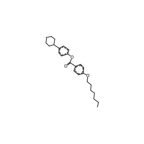 CCCCCCCOc1ccc(C(=O)Oc2ccc(C3CC[CH]CC3)cc2)cc1